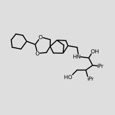 CC(C)C(CO)C(C(C)C)C(O)NCC1CC2CC1CC21COC(C2CCCCC2)OC1